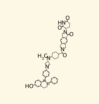 CN(C1CCC(C(=O)N2Cc3cc4c(cc3C2)C(=O)N(C2CCC(=O)NC2=O)C4)CC1)C1CN(c2ccc([C@@H]3c4ccc(O)cc4CC[C@@H]3c3ccccc3)cc2)C1